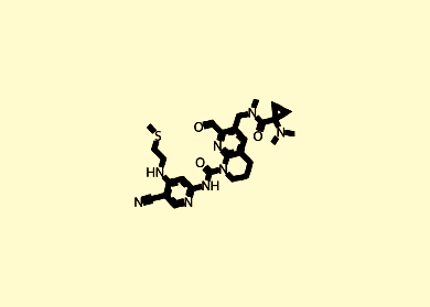 CSCCNc1cc(NC(=O)N2CCCc3cc(CN(C)C(=O)C4(N(C)C)CC4)c(C=O)nc32)ncc1C#N